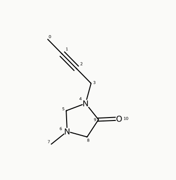 CC#CCN1CN(C)CC1=O